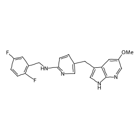 COc1cnc2[nH]cc(Cc3ccc(NCc4cc(F)ccc4F)nc3)c2c1